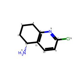 N[C@@H]1CCCc2nc(Cl)ccc21